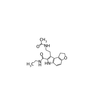 CCNC(=O)c1[nH]c2ccc3c(c2c1CCNC(C)=O)CCO3